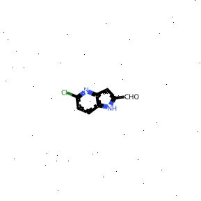 O=Cc1cc2nc(Cl)ccc2[nH]1